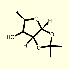 C[C@H]1O[C@@H]2OC(C)(C)O[C@@H]2C1O